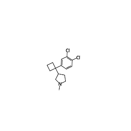 CN1CCC(C2(c3ccc(Cl)c(Cl)c3)CCC2)C1